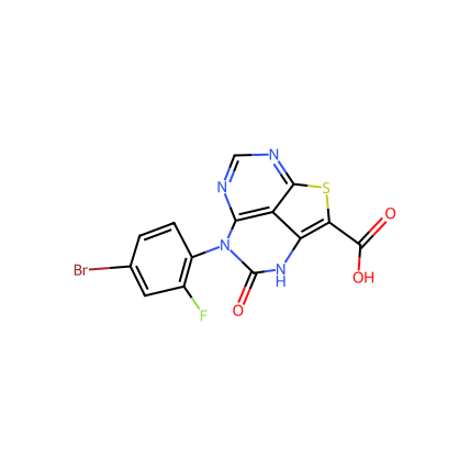 O=C(O)c1sc2ncnc3c2c1NC(=O)N3c1ccc(Br)cc1F